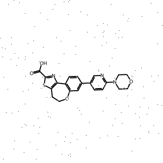 O=C(O)c1nc2c(s1)CCOc1cc(-c3ccc(N4CCOCC4)nc3)ccc1-2